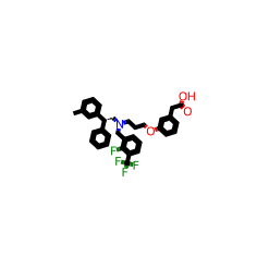 Cc1cccc([C@H](CN(CCCOc2cccc(CC(=O)O)c2)Cc2cccc(C(F)(F)F)c2F)c2ccccc2)c1